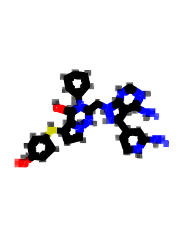 Nc1cc(-c2nn(Cc3nn4ccc(Sc5ccc(O)cc5)c4c(=O)n3-c3ccccc3)c3ncnc(N)c23)ccn1